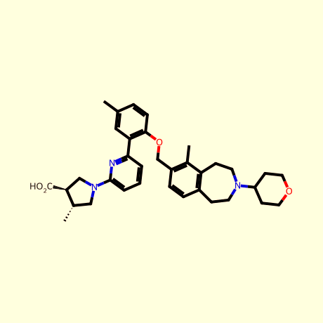 Cc1ccc(OCc2ccc3c(c2C)CCN(C2CCOCC2)CC3)c(-c2cccc(N3C[C@H](C(=O)O)[C@@H](C)C3)n2)c1